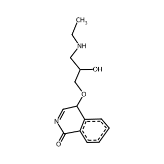 CCNCC(O)COC1C=NC(=O)c2ccccc21